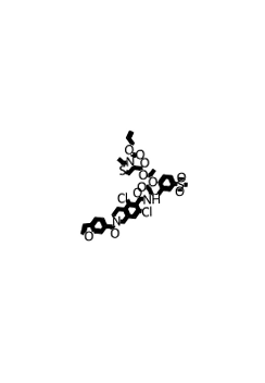 C=CCOC(=O)N1C(C)SCC1C(=O)OC(C)OC(=O)[C@H](Cc1cccc(S(C)(=O)=O)c1)NC(=O)c1c(Cl)cc2c(c1Cl)CCN(C(=O)c1ccc3ccoc3c1)C2